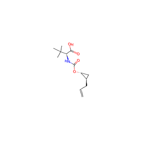 C=CC[C@@H]1C[C@H]1OC(=O)N[C@H](C(=O)O)C(C)(C)C